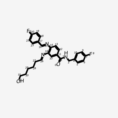 O=C(NCc1ccc(F)cc1)c1ccc(/N=C/c2ccc(F)cc2)c(/N=C/CCCCCO)c1